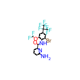 Nc1cccc(C(=O)Nc2c(Br)cc(C(F)(C(F)(F)F)C(F)(F)F)cc2OC(F)F)n1